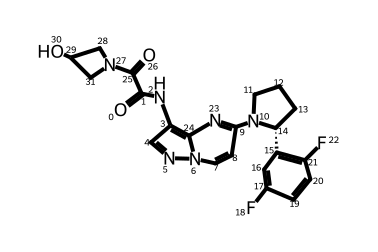 O=C(Nc1cnn2ccc(N3CCC[C@@H]3c3cc(F)ccc3F)nc12)C(=O)N1CC(O)C1